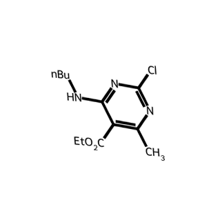 CCCCNc1nc(Cl)nc(C)c1C(=O)OCC